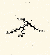 CC(C)(C)OOCCCCC(COOC(C)(C)C)OOC(CCCCOOC(C)(C)C)COOC(C)(C)C